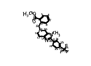 COC(=O)c1ccccc1CN1CCc2nc(-c3ccc(C(F)(F)F)cc3)n(C)c2C1